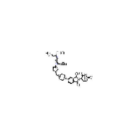 C=C/C(C=O)=C\N=C(/CCCC)N1CCC(CN2CCN(c3ccc4c(c3)C(=O)N(C3CCC(=O)NC3=O)C4=O)CC2)C1